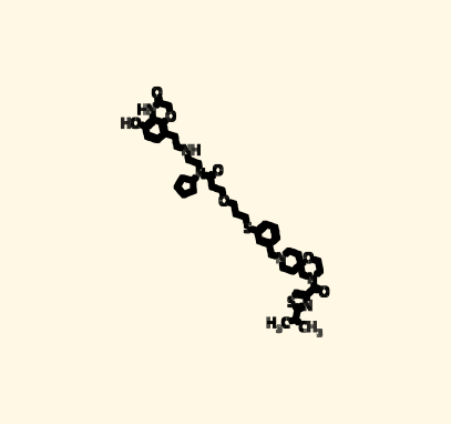 CC(C)c1nc(C(=O)N2CCOC3(CCN(Cc4cccc(SCCCOCCC(=O)N(CCNCCc5ccc(O)c6c5OCC(=O)N6)C5CCCC5)c4)CC3)C2)cs1